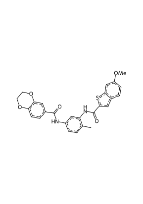 COc1ccc2cc(C(=O)Nc3cc(NC(=O)c4ccc5c(c4)OCCO5)ccc3C)sc2c1